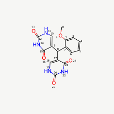 COc1ccccc1C(c1c[nH]c(=O)[nH]c1=O)c1c[nH]c(=O)[nH]c1=O